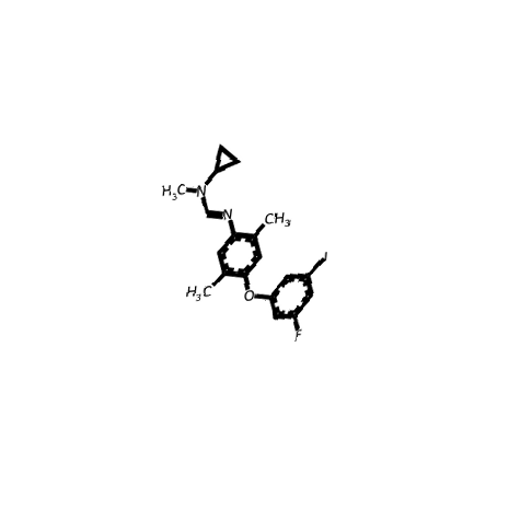 Cc1cc(Oc2cc(F)cc(I)c2)c(C)cc1/N=C/N(C)C1CC1